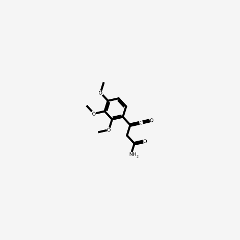 COc1ccc(C(=C=O)CC(N)=O)c(OC)c1OC